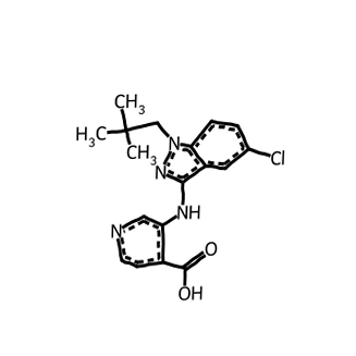 CC(C)(C)Cn1nc(Nc2cnccc2C(=O)O)c2cc(Cl)ccc21